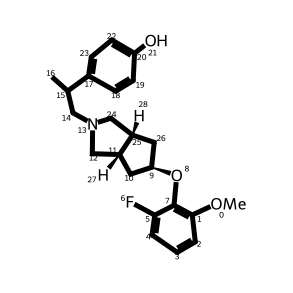 COc1cccc(F)c1O[C@H]1C[C@@H]2CN(CC(C)c3ccc(O)cc3)C[C@@H]2C1